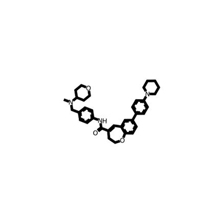 CN(Cc1ccc(NC(=O)C2=Cc3cc(-c4ccc(N5CCCCC5)cc4)ccc3OCC2)cc1)C1CCOCC1